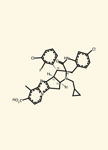 Cc1c(C(=O)O)ccn2c3c(nc12)[C@@H]1[C@H](C3)N(CC2CC2)[C@]2(Cc3ccc(Cl)cc3NC2=O)[C@H]1c1cccc(Cl)c1F